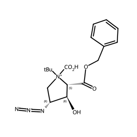 CC(C)(C)[N+]1(C(=O)O)C[C@@H](N=[N+]=[N-])[C@H](O)[C@H]1C(=O)OCc1ccccc1